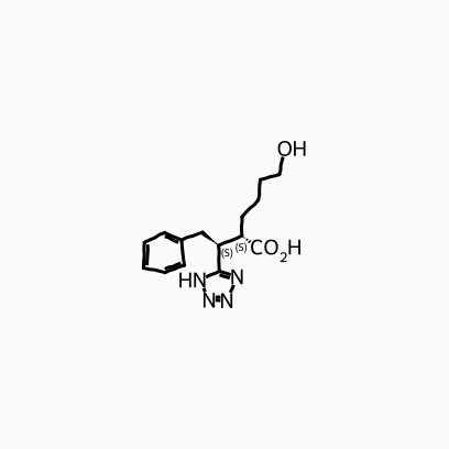 O=C(O)[C@@H](CCCCO)[C@H](Cc1ccccc1)c1nnn[nH]1